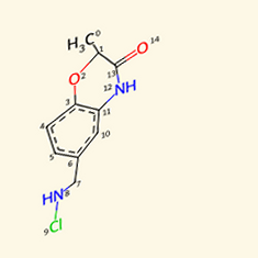 CC1Oc2ccc(CNCl)cc2NC1=O